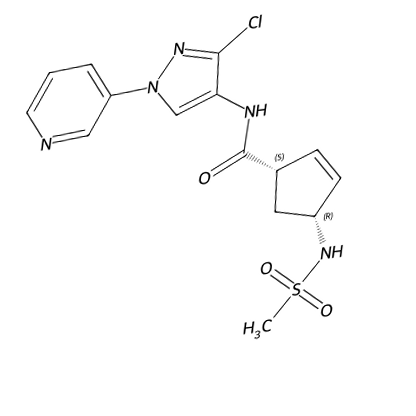 CS(=O)(=O)N[C@H]1C=C[C@@H](C(=O)Nc2cn(-c3cccnc3)nc2Cl)C1